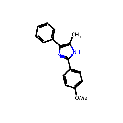 COc1ccc(-c2nc(-c3ccccc3)c(C)[nH]2)cc1